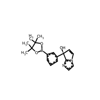 CC1(C)OB(c2cccc([C@]3(O)C=Cn4ccnc43)c2)OC1(C)C